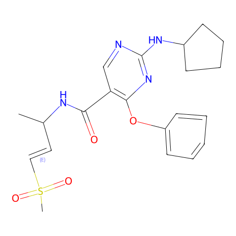 CC(/C=C/S(C)(=O)=O)NC(=O)c1cnc(NC2CCCC2)nc1Oc1ccccc1